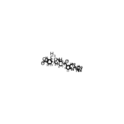 Cc1c([C@H]2CN3CCN(C(=O)C4CCc5nc(-n6cnnn6)ncc54)C[C@H]3CO2)ccc2c1COC2=O